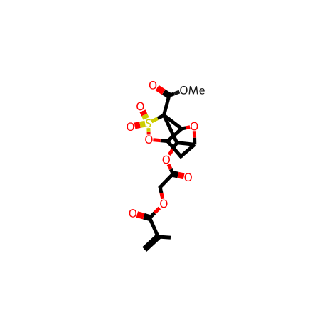 C=C(C)C(=O)OCC(=O)OC1C2CC3OS(=O)(=O)C1(C(=O)OC)C3O2